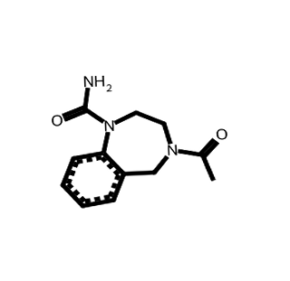 CC(=O)N1CCN(C(N)=O)c2ccccc2C1